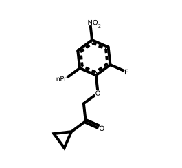 CCCc1cc([N+](=O)[O-])cc(F)c1OCC(=O)C1CC1